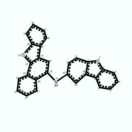 c1ccc2c(c1)oc1ccc(Nc3cc4c5ccccc5oc4c4ccccc34)cc12